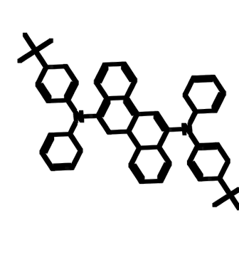 CC(C)(C)C1C=CC(N(C2=CC3=c4ccccc4=C(N(C4=CCC(C(C)(C)C)C=C4)C4C=CC=CC4)CC3C3C=CC=CC23)C2C=CC=CC2)=CC1